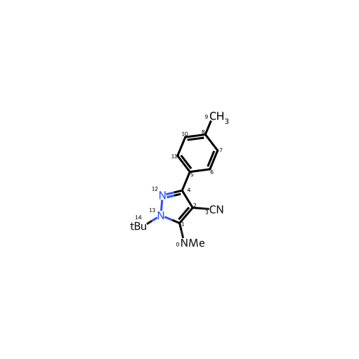 CNc1c(C#N)c(-c2ccc(C)cc2)nn1C(C)(C)C